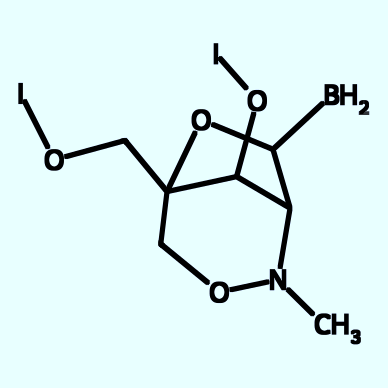 BC1OC2(COI)CON(C)C1C2OI